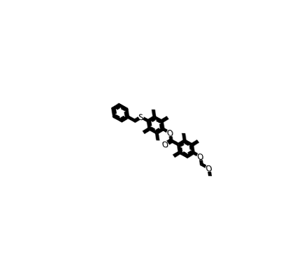 COCOc1cc(C)c(C(=O)Oc2c(C)c(C)c(SCc3ccccc3)c(C)c2C)c(C)c1C